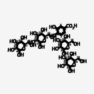 O=C(O)c1ccc(O)c(O)c1.OC[C@H]1OC(O)[C@H](O)[C@@H](O)[C@@H]1O.OC[C@H]1OC(O)[C@H](O)[C@@H](O)[C@@H]1O.OC[C@H]1OC(O)[C@H](O)[C@@H](O)[C@@H]1O.OC[C@H]1OC(O)[C@H](O)[C@@H](O)[C@@H]1O